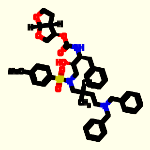 COc1ccc(S(=O)(=O)N(C[C@H](O)[C@H](Cc2ccccc2)NC(=O)O[C@@H]2CO[C@@H]3OCC[C@@H]32)CC(C)(C)CCN(Cc2ccccc2)Cc2ccccc2)cc1